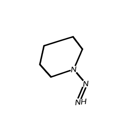 N=NN1CCCCC1